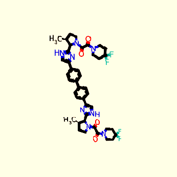 C[C@H]1CCN(C(=O)C(=O)N2CCC(F)(F)CC2)C1c1nc(-c2ccc(-c3ccc(-c4c[nH]c(C5[C@@H](C)CCN5C(=O)C(=O)N5CCC(F)(F)CC5)n4)cc3)cc2)c[nH]1